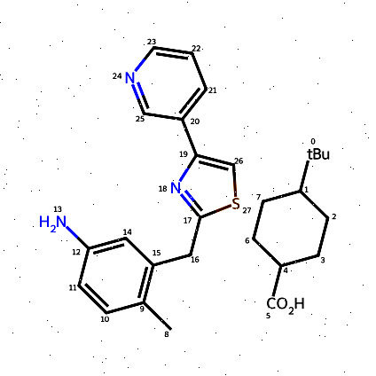 CC(C)(C)C1CCC(C(=O)O)CC1.Cc1ccc(N)cc1Cc1nc(-c2cccnc2)cs1